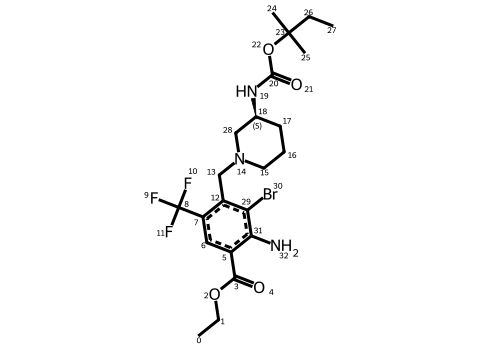 CCOC(=O)c1cc(C(F)(F)F)c(CN2CCC[C@H](NC(=O)OC(C)(C)CC)C2)c(Br)c1N